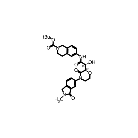 CN1Cc2ccc(N3CCO[C@H]([C@@H](O)C(=O)Nc4ccc5c(c4)CCN(C(=O)OC(C)(C)C)C5)C3=O)cc2C1=O